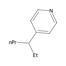 CCCC(CC)c1ccncc1